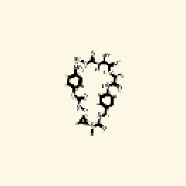 CC(C)[C@H](NC(=O)OC(C)(C)C)C(=O)N[C@@H](C)C(=O)Nc1ccc(COC(=O)N(C)[C@@H]2C[C@@H]2COC(=O)Oc2ccc([N+](=O)[O-])cc2)cc1